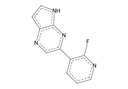 Fc1ncccc1-c1cnc2cc[nH]c2n1